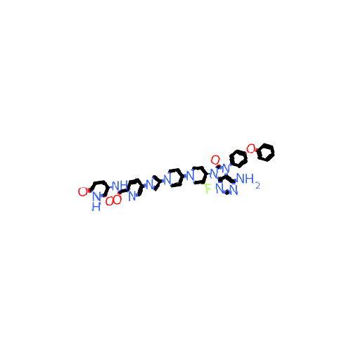 Nc1ncnc2c1n(-c1ccc(Oc3ccccc3)cc1)c(=O)n2[C@@H]1CCN(C2CCN(C3CN(c4ccc(C(=O)N[C@@H]5CCC(=O)NC5=O)nc4)C3)CC2)C[C@H]1F